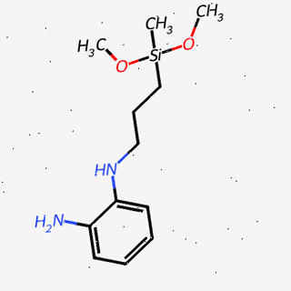 CO[Si](C)(CCCNc1ccccc1N)OC